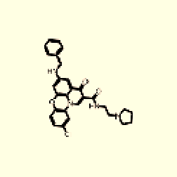 O=C(NCCN1CCCC1)c1cn2c3c(cc(NCc4ccccc4)cc3c1=O)Oc1ccc(Cl)cc1-2